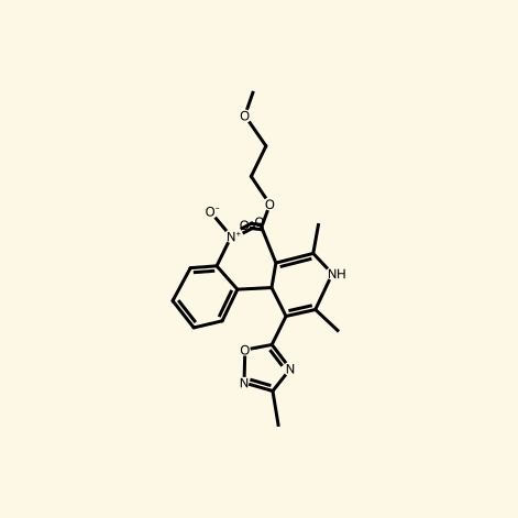 COCCOC(=O)C1=C(C)NC(C)=C(c2nc(C)no2)C1c1ccccc1[N+](=O)[O-]